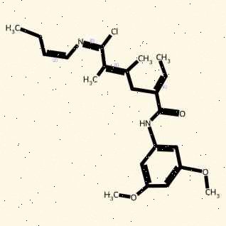 C/C=C(\C/C(C)=C(C)/C(Cl)=N\C=C/CC)C(=O)Nc1cc(OC)cc(OC)c1